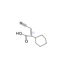 N#C/C=C(\C(=O)O)C1CCCCC1